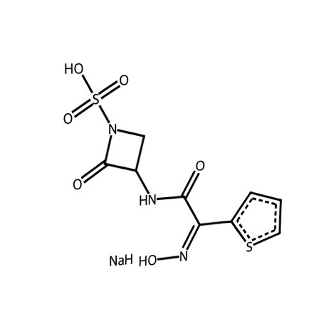 O=C(NC1CN(S(=O)(=O)O)C1=O)C(=NO)c1cccs1.[NaH]